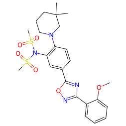 COc1ccccc1-c1noc(-c2ccc(N3CCCC(C)(C)C3)c(N(S(C)(=O)=O)S(C)(=O)=O)c2)n1